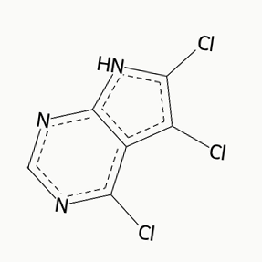 Clc1[nH]c2ncnc(Cl)c2c1Cl